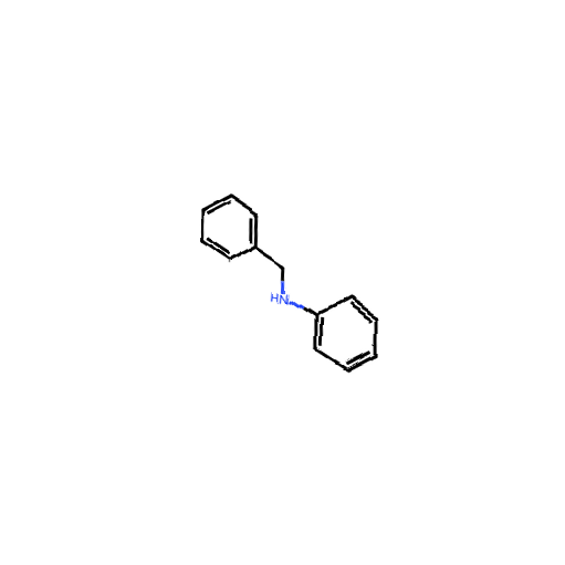 [c]1ccccc1CNc1ccccc1